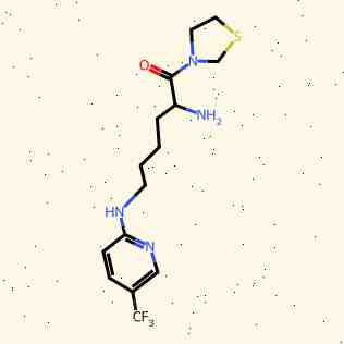 NC(CCCCNc1ccc(C(F)(F)F)cn1)C(=O)N1CCSC1